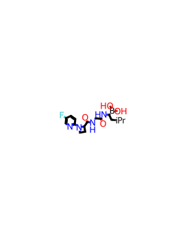 CC(C)CC(NC(=O)CNC(=O)C1CCN1c1ccc(F)cn1)B(O)O